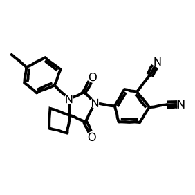 Cc1ccc(N2C(=O)N(c3ccc(C#N)c(C#N)c3)C(=O)C23CCC3)cc1